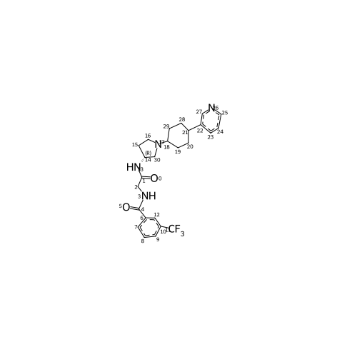 O=C(CNC(=O)c1cccc(C(F)(F)F)c1)N[C@@H]1CCN(C2CCC(c3cccnc3)CC2)C1